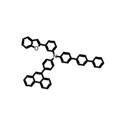 c1ccc(-c2ccc(-c3ccc(N(c4ccc(-c5cc6ccccc6c6ccccc56)cc4)c4cccc(-c5cc6ccccc6o5)c4)cc3)cc2)cc1